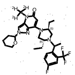 [2H]C([2H])([2H])n1c(=O)cc(N2C[C@@H](CC)N(C(C)c3ccc(F)cc3C(F)(F)F)C[C@@H]2CC)c2nn(C3CCCCO3)cc21